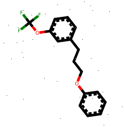 FC(F)(F)Oc1cccc(CCCOc2cc[c]cc2)c1